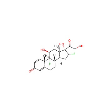 C[C@]12C=CC(=O)C=C1CC[C@H]1[C@@H]3CC(F)[C@](O)(C(=O)CO)[C@@]3(C)C[C@H](O)[C@@]12F